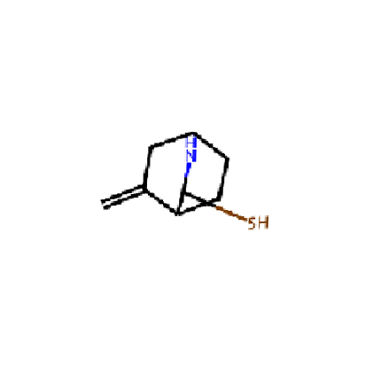 C=C1CC2CCC1C(S)N2